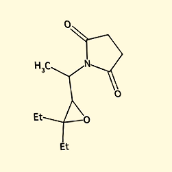 CCC1(CC)OC1C(C)N1C(=O)CCC1=O